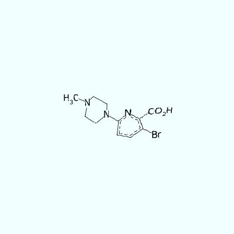 CN1CCN(c2ccc(Br)c(C(=O)O)n2)CC1